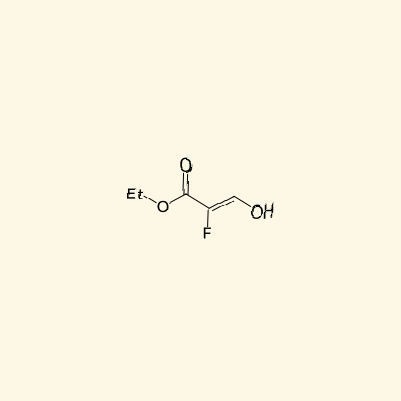 CCOC(=O)/C(F)=C/O